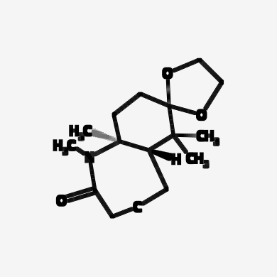 CN1C(=O)CCC[C@H]2C(C)(C)C3(CC[C@@]21C)OCCO3